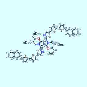 CCCCCCCCCCCCC(CCCCCCCCCC)CN1C(=O)C2=C(c3ncc(-c4ccc(-c5ccc(-c6ccc7ccccc7c6)s5)s4)s3)N(CC(CCCCCCCCCC)CCCCCCCCCCCC)C(=O)C2=C1c1ncc(-c2ccc(-c3ccc(-c4ccc5ccccc5c4)s3)s2)s1